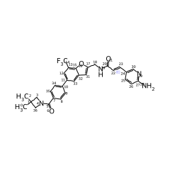 CC1(C)CN(C(=O)c2ccc(-c3cc(C(F)(F)F)c4oc(CNC(=O)/C=C/c5ccc(N)nc5)cc4c3)cc2)C1